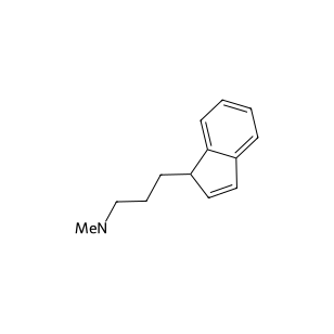 CNCCCC1C=Cc2ccccc21